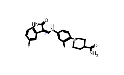 Cc1cc(N/C=C2\C(=O)Nc3ccc(F)cc32)ccc1N1CCC(C(N)=O)CC1